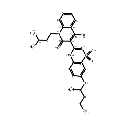 CCCC(N)Oc1ccc2c(c1)S(=O)(=O)N=C(c1c(O)c3ccccc3n(CCC(C)C)c1=O)N2